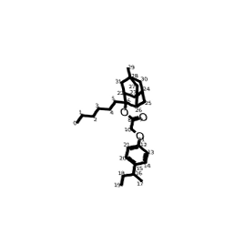 CCCCCCC1(OC(=O)COc2ccc(C(C)CC)cc2)C2CC3CC1CC(C)(C3)C2